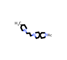 CC(=O)N1CCC2(CCN(CCCN3CCC(C)CC3)CC2)CC1